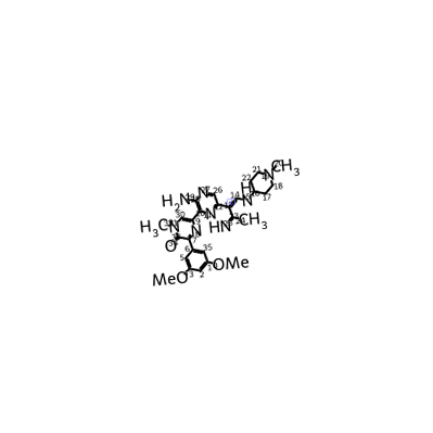 COc1cc(OC)cc(-c2nc(-c3nc(/C(=C/NC4CCN(C)CC4)C(C)=N)cnc3N)cn(C)c2=O)c1